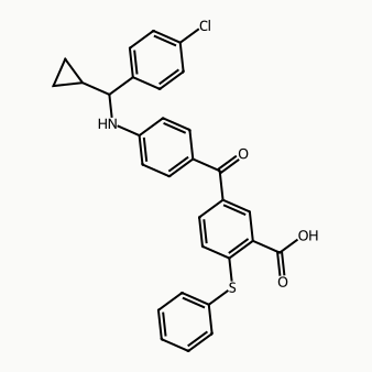 O=C(c1ccc(NC(c2ccc(Cl)cc2)C2CC2)cc1)c1ccc(Sc2ccccc2)c(C(=O)O)c1